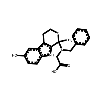 CC1(N(CC(=O)O)Cc2ccccc2)OCCc2c1[nH]c1ccc(O)cc21